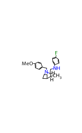 COc1ccc(CN2C3CC(C3)[C@@H](C)[C@H]2CNc2ccc(F)cc2)cc1